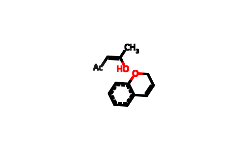 C1=Cc2ccccc2OC1.CC(=O)/C=C(/C)O